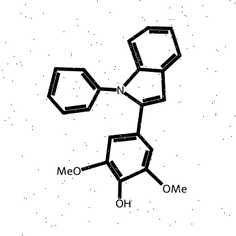 COc1cc(-c2cc3ccccc3n2-c2ccccc2)cc(OC)c1O